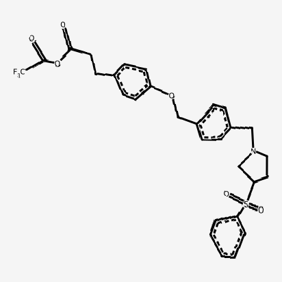 O=C(CCc1ccc(OCc2ccc(CN3CCC(S(=O)(=O)c4ccccc4)C3)cc2)cc1)OC(=O)C(F)(F)F